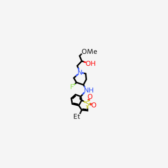 CCC1=CS(=O)(=O)c2c(NC3CCN(CC(O)COC)CC3F)cccc21